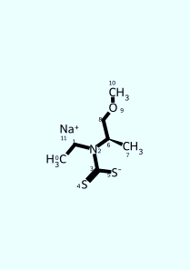 CCN(C(=S)[S-])[C@H](C)COC.[Na+]